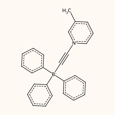 Cc1ccc[n+](C#C[B-](c2ccccc2)(c2ccccc2)c2ccccc2)c1